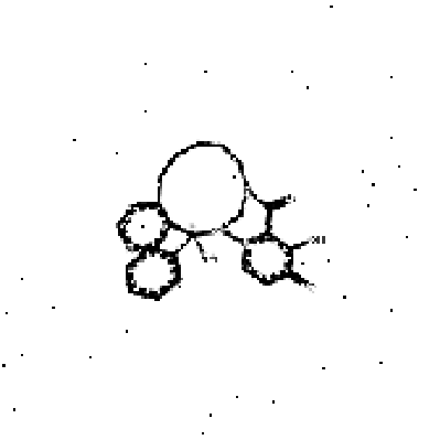 O=C1c2c(O)c(=O)ccn2N2CN1CCCCCc1ccncc1[C@@]2(S)c1ccccc1